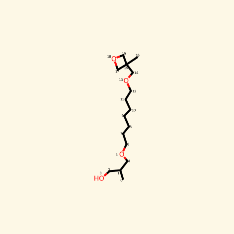 CC(CO)COCCCCCCCOCC1(C)COC1